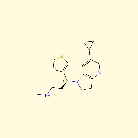 CNCC[C@@H](c1ccsc1)N1CCc2ncc(C3CC3)cc21